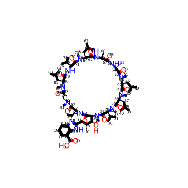 CC[C@@H]1NC(=O)[C@H]([C@H](O)[C@H](C)Cc2nc3cccc(C(=O)O)c3[nH]2)N(C)C(=O)[C@H](C(C)C)N(C)C(=O)[C@H](CC(C)C)N(C)C(=O)[C@H](CC(C)C)N(C)C(=O)[C@@H](C)NC(=O)[C@H](C)NC(=O)[C@H](CC(C)C)N(C)C(=O)[C@H](C(C)C)NC(=O)[C@H](CC(C)C)N(C)C(=O)CN(C)C1=O